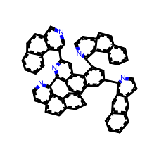 [c]1cc2c(-c3nccc4ccc5ccccc5c34)nc(-c3cncc4ccc5ccccc5c34)cc2c2c(-c3nccc4ccc5ccccc5c34)cc(-c3nccc4cc5ccccc5cc34)cc12